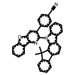 CC1(C)c2ccccc2-c2ccc3c4ccccc4n(-c4nc5c(cc4-c4ccc(C#N)cc4)oc4ccccc45)c3c21